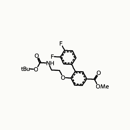 COC(=O)c1ccc(OCCNC(=O)OC(C)(C)C)c(-c2ccc(F)c(F)c2)c1